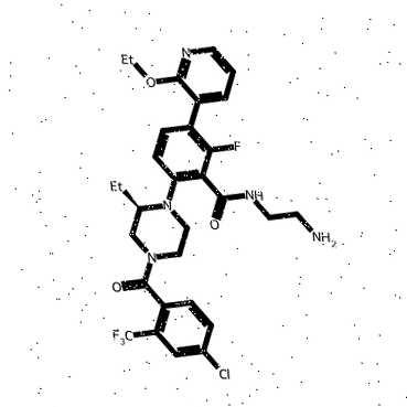 CCOc1ncccc1-c1ccc(N2CCN(C(=O)c3ccc(Cl)cc3C(F)(F)F)C[C@H]2CC)c(C(=O)NCCN)c1F